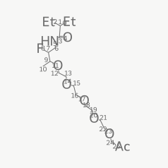 CCC(CC)C(=O)NCC(F)C(C)OCCOCCOCCOCCOCC(C)=O